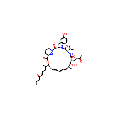 CCCC(=O)/C=C/C=C(\C)[C@@H]1C/C=C/C=C/C[C@H](C)[C@@H](O)[C@@H](CCC(C)=O)C(=O)N[C@@H](C(C)C)C(=O)N[C@@H](Cc2cccc(O)c2)C(=O)N2CCCC(N2)C(=O)O1